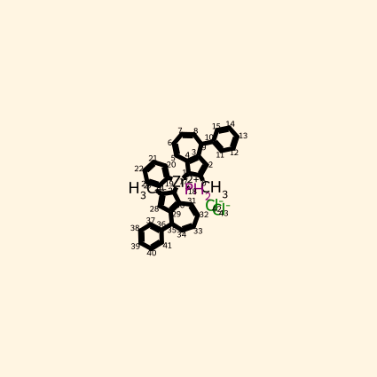 CC1=CC2=C(C=CC=CC2c2ccccc2)[CH]1[Zr+2]([PH2])([c]1ccccc1)[CH]1C(C)=CC2=C1C=CC=CC2c1ccccc1.[Cl-].[Cl-]